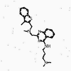 Cc1c(CN(C)Cc2nc(NCCCN(C)C)c3ccccc3n2)sc2ccccc12